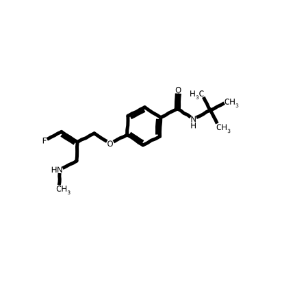 CNC/C(=C\F)COc1ccc(C(=O)NC(C)(C)C)cc1